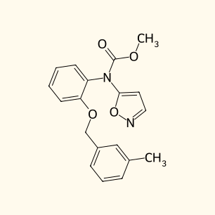 COC(=O)N(c1ccno1)c1ccccc1OCc1cccc(C)c1